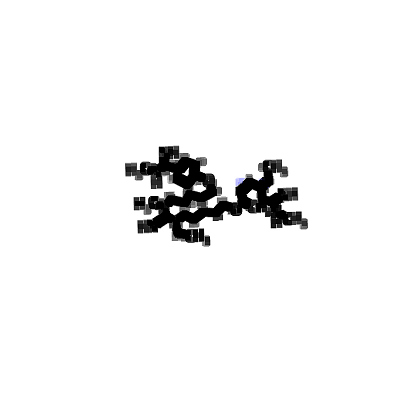 C=C(/C=C\C(=C/C)CC(=N)NC)OCCCCCN(CC)C(=N)N(C)CCCCCOc1ccc(C(=N)NC)cc1